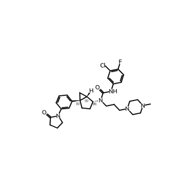 CN1CCN(CCCN(C(=O)Nc2ccc(F)c(Cl)c2)[C@@H]2CC[C@]3(c4cccc(N5CCCC5=O)c4)C[C@H]23)CC1